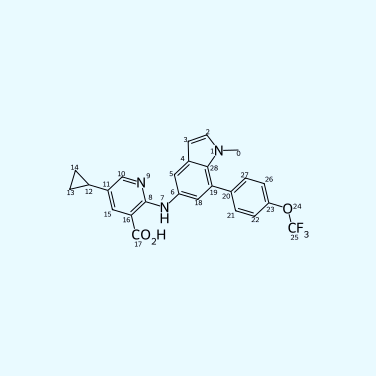 Cn1ccc2cc(Nc3ncc(C4CC4)cc3C(=O)O)cc(-c3ccc(OC(F)(F)F)cc3)c21